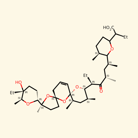 CCC(C(=O)O)C1CC[C@H](C)C([C@@H](C)C[C@H](C)C(=O)[C@H](CC)[C@H]2O[C@]3(C=CC[C@]4(CC[C@@](C)([C@H]5CC[C@](O)(CC)[C@H](C)O5)O4)O3)[C@H](C)C[C@@H]2C)O1